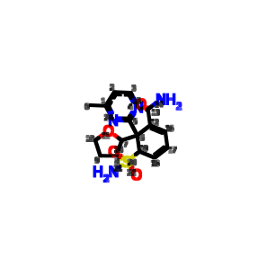 Cc1ccnc(C2(C3CCCO3)C(C(N)=O)=CC=CC2S(N)(=O)=O)n1